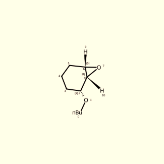 CCCCO[C@@H]1CCC[C@@H]2O[C@@H]21